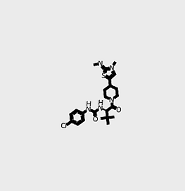 C/N=c1\sc(C2CCN(C(=O)[C@H](NC(=O)Nc3ccc(Cl)cc3)C(C)(C)C)CC2)cn1C